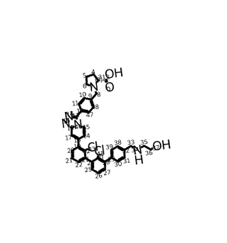 O=C(O)[C@H]1CCCN1Cc1ccc(-c2nnc3cc(-c4cccc(-c5cccc(-c6ccc(CNCCO)cc6)c5Cl)c4Cl)ccn23)cc1